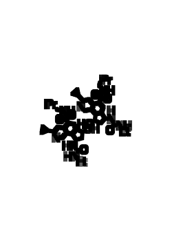 CCNC(=O)NC1CC(O)c2c1cc(S(=O)(=O)NCC(C)C)c1cc(C3CC3)ncc21.CCNC(=O)NC1CC(O)c2cc(S(=O)(=O)NCC(C)C)c3cc(C4CC4)ncc3c21